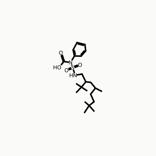 CC(CCC(C)(C)C)CC(CNS(=O)(=O)N(C(=O)O)c1ccccc1)C(C)(C)C